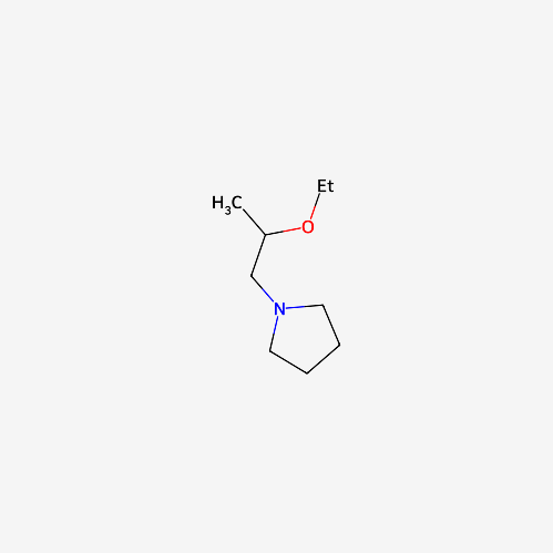 CCOC(C)CN1CCCC1